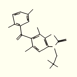 O=C(c1cc(F)ccc1Cl)c1c(Br)cc2c([nH]c(=O)n2CC(F)(F)F)c1Br